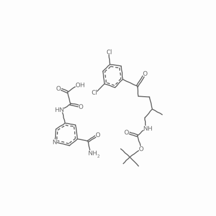 CC(CCC(=O)c1cc(Cl)cc(Cl)c1)CNC(=O)OC(C)(C)C.NC(=O)c1cncc(NC(=O)C(=O)O)c1